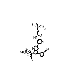 CC(OP(=O)(O)O)n1cc(-c2cccc(C#N)c2)c2cc(-c3cncc(NC(=O)C=CCN(C)C)c3)cnc21